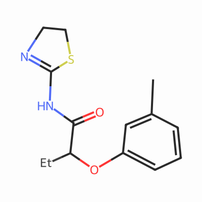 CCC(Oc1cccc(C)c1)C(=O)NC1=NCCS1